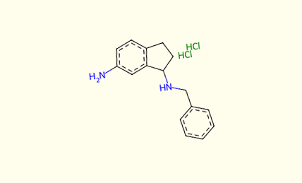 Cl.Cl.Nc1ccc2c(c1)C(NCc1ccccc1)CC2